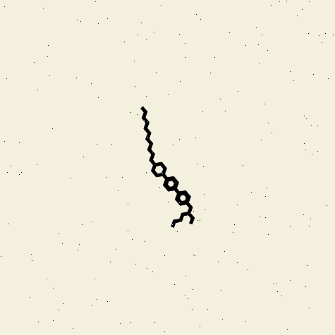 CCCCCCCCCCCC1CCC(c2ccc(-c3ccc(CC(CC)CCCC)cc3)cc2)CC1